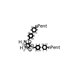 CCCCC[C@H]1CC[C@H](c2ccc(CO[C@@H](C(N)=O)[C@@H](OCc3ccc([C@H]4CC[C@H](CCCCC)CC4)cc3)C(N)=O)cc2)CC1